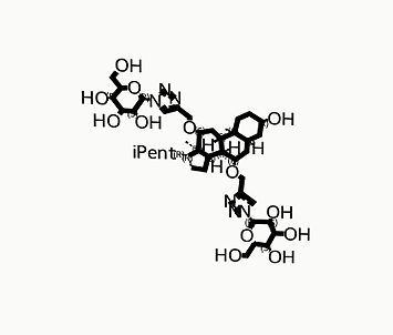 CCC[C@@H](C)[C@H]1CC[C@H]2[C@@H]3[C@H](OCc4cn([C@@H]5OC(CO)[C@@H](O)C(O)[C@@H]5O)nn4)C[C@@H]4C[C@H](O)CC[C@]4(C)[C@H]3C[C@H](OCc3cn([C@@H]4OC(CO)[C@@H](O)C(O)[C@@H]4O)nn3)[C@]12C